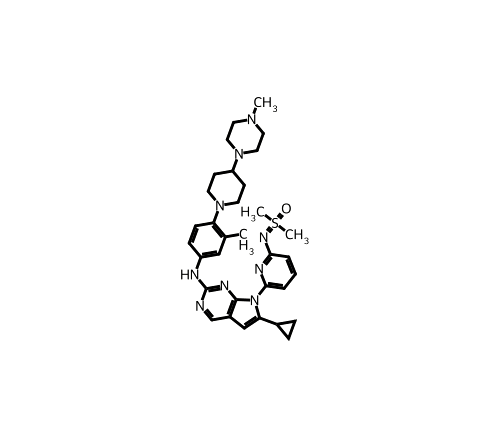 Cc1cc(Nc2ncc3cc(C4CC4)n(-c4cccc(N=S(C)(C)=O)n4)c3n2)ccc1N1CCC(N2CCN(C)CC2)CC1